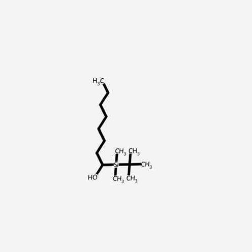 CCCCCCCC(O)[Si](C)(C)C(C)(C)C